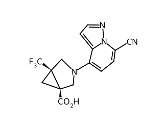 N#Cc1ccc(N2C[C@]3(C(=O)O)C[C@]3(C(F)(F)F)C2)c2ccnn12